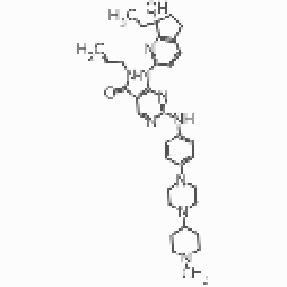 C=CCn1c(=O)c2cnc(Nc3ccc(N4CCN(C5CCN(C)CC5)CC4)cc3)nc2n1-c1ccc2c(n1)[C@@](O)(CC)CC2